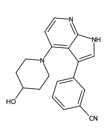 N#Cc1cccc(-c2c[nH]c3nccc(N4CCC(O)CC4)c23)c1